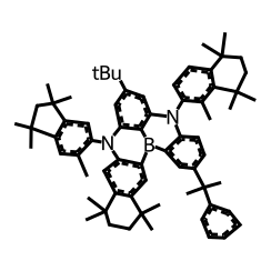 Cc1cc2c(cc1N1c3cc4c(cc3B3c5cc(C(C)(C)c6ccccc6)ccc5N(c5ccc6c(c5C)C(C)(C)CCC6(C)C)c5cc(C(C)(C)C)cc1c53)C(C)(C)CCC4(C)C)C(C)(C)CC2(C)C